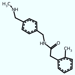 CNCc1ccc(CNC(=O)Cc2ccccc2C)cc1